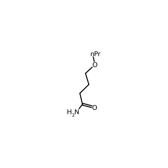 CCCOCCCC(N)=O